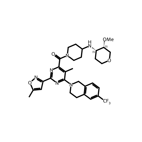 CO[C@@H]1COCC[C@@H]1NC1CCN(C(=O)c2nc(-c3cc(C)on3)nc(N3CCc4cc(C(F)(F)F)ccc4C3)c2C)CC1